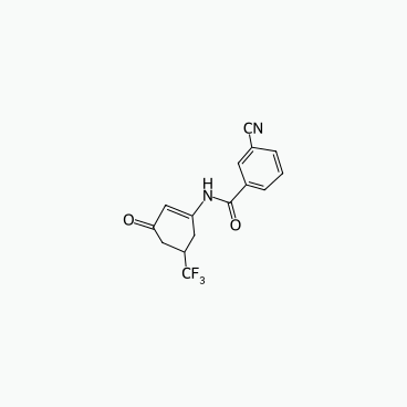 N#Cc1cccc(C(=O)NC2=CC(=O)CC(C(F)(F)F)C2)c1